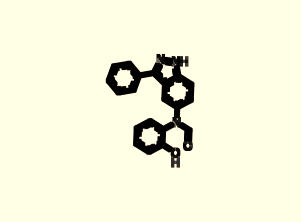 O=CN(c1ccc2[nH]nc(-c3ccccc3)c2c1)c1ccccc1O